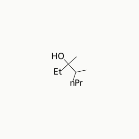 CCCC(C)C(C)(O)CC